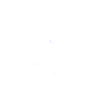 CC[N+](=CC(Cl)Cl)CC.[Cl-]